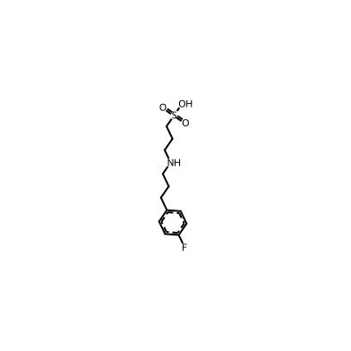 O=S(=O)(O)CCCNCCCc1ccc(F)cc1